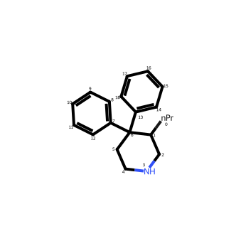 CCCC1CNCCC1(c1cc[c]cc1)c1ccccc1